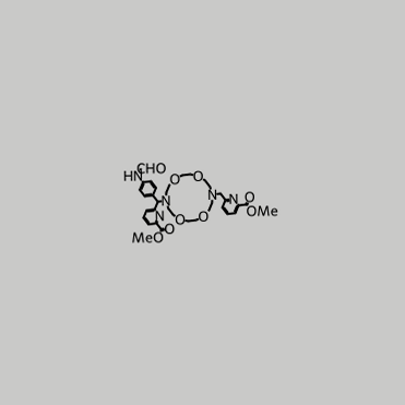 COC(=O)c1cccc(CN2CCOCCOCCN(C(c3ccc(NC=O)cc3)c3cccc(C(=O)OC)n3)CCOCCOCC2)n1